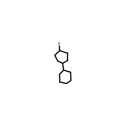 FC1CCC(C2CCCCC2)CC1